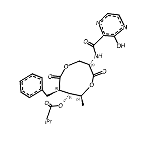 CC(C)C(=O)O[C@H]1[C@H](C)OC(=O)[C@@H](NC(=O)c2nccnc2O)COC(=O)[C@@H]1Cc1ccccc1